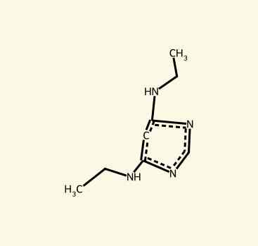 CCNc1cc(NCC)ncn1